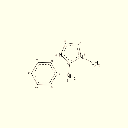 Cn1ccnc1N.c1ccccc1